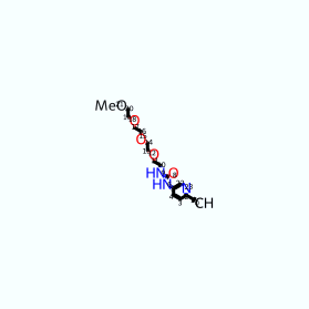 C#Cc1ccc(NC(=O)NCCOCCOCCOCCOC)cn1